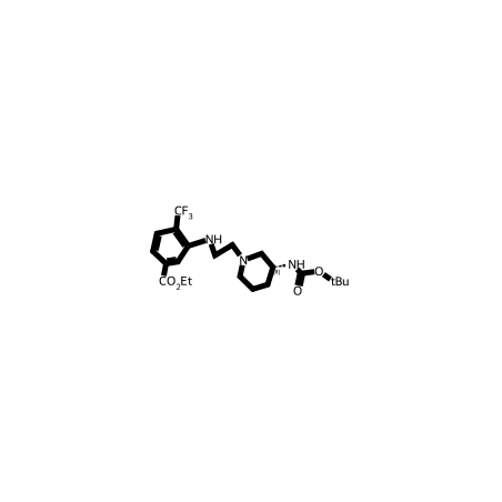 CCOC(=O)c1ccc(C(F)(F)F)c(NCCN2CCC[C@@H](NC(=O)OC(C)(C)C)C2)c1